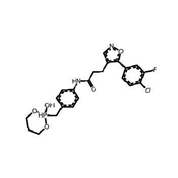 O=C(CCc1cnoc1-c1ccc(Cl)c(F)c1)Nc1ccc(C[PH]2(O)OCCCO2)cc1